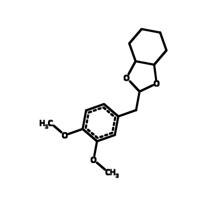 COc1ccc(CC2OC3CCCCC3O2)cc1OC